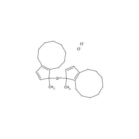 C[C]1([Zr+2][C]2(C)C=CC3=C2CCCCCCCC3)C=CC2=C1CCCCCCCC2.[Cl-].[Cl-]